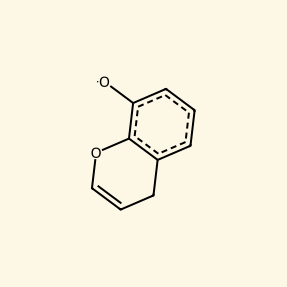 [O]c1cccc2c1OC=CC2